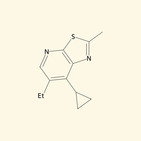 CCc1cnc2sc(C)nc2c1C1CC1